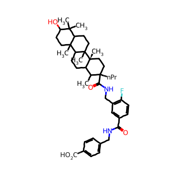 CCCC1(C(=O)NCc2cc(C(=O)NCc3ccc(C(=O)O)cc3)ccc2F)CC[C@]2(C)C(CCC3C4(C)CCC(O)C(C)(C)C4CCC32C)C1C